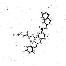 Cc1ccc(C[C@@H](N)CN2C[C@@H](C)N(C(=O)Cc3ccc4ccccc4c3)C[C@@H]2CCCNCCN)c(C)c1